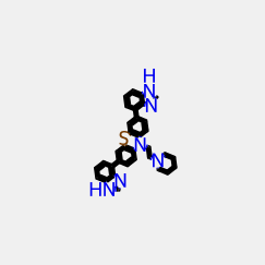 c1cc(-c2ccc3c(c2)Sc2cc(-c4cccc5[nH]cnc45)ccc2N3CCN2CCCCC2)c2nc[nH]c2c1